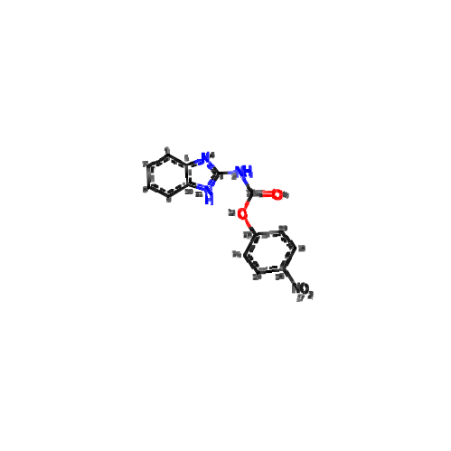 O=C(Nc1nc2ccccc2[nH]1)Oc1ccc([N+](=O)[O-])cc1